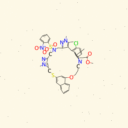 COC(=O)c1c(C)c2c3c(Cl)ccc2n1CCCOc1cc(cc2ccccc12)SCc1cc(nn1C)CN(S(=O)(=O)c1ccccc1[N+](=O)[O-])Cc1nn(C)c(C)c1-3